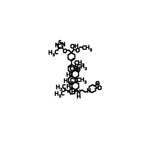 C=C(C)[C@@H]1CC[C@]2(NCCN3CCS(=O)(=O)CC3)CC[C@]3(C)[C@H](CC[C@@H]4[C@@]5(C)CC=C(C6=CCC(COc7nsnc7C)(C(O)OCC)CC6)C(C)(C)[C@@H]5CC[C@]43C)[C@@H]12